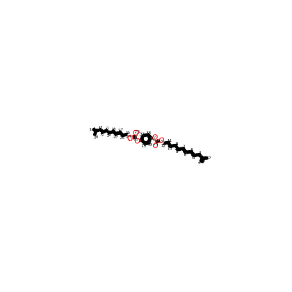 CC(C)CCCCCCCCCCOC(=O)OC1CCC(OC(=O)OCCCCCCCCCC(C)C)CC1